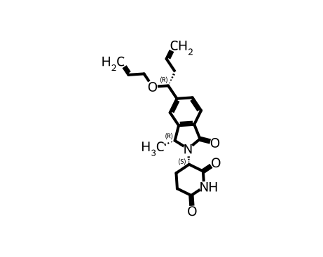 C=CCO[C@H](CC=C)c1ccc2c(c1)[C@@H](C)N([C@H]1CCC(=O)NC1=O)C2=O